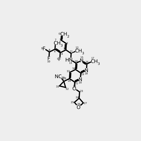 C=C/C=C(\C(F)=C(/C)C(F)F)[C@@H](C)Nc1nc(C)nc2nc(OCC3COC3)c(C3(C#N)CC3)cc12